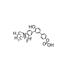 CCN(CC)c1ccc(-c2cc(-c3ccc(OC(=O)O)cc3)ccc2O)cc1C(F)(F)F